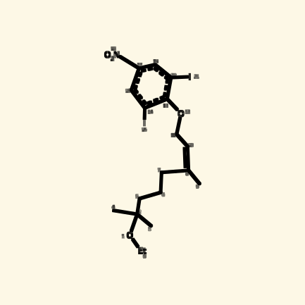 CCOC(C)(C)CCCC(C)=CCOc1c(I)cc([N+](=O)[O-])cc1I